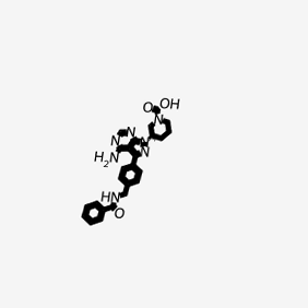 Nc1ncnc2c1c(-c1ccc(CNC(=O)c3ccccc3)cc1)nn2[C@@H]1CCCN(C(=O)O)C1